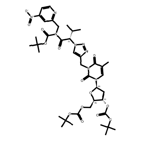 Cc1cn([C@H]2C[C@H](OC(=O)OC(C)(C)C)[C@@H](COC(=O)OC(C)(C)C)O2)c(=O)n(Cc2cn([C@H](C(=O)N(Cc3cc([N+](=O)[O-])ccn3)C(=O)OC(C)(C)C)C(C)C)nn2)c1=O